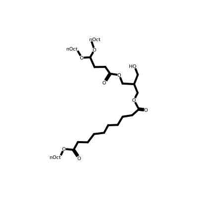 CCCCCCCCOC(=O)CCCCCCCCC(=O)OCC(CO)COC(=O)CCC(OCCCCCCCC)OCCCCCCCC